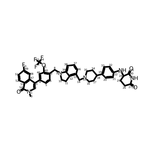 Cn1cc(-c2ccc(CN3CCc4c(CN5CCC(c6ccc(NC7CCC(=O)NC7=O)cc6)CC5)cccc43)c(OC(F)(F)F)c2)c2cc(F)ccc2c1=O